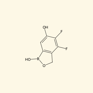 OB1OCc2c1cc(O)c(F)c2F